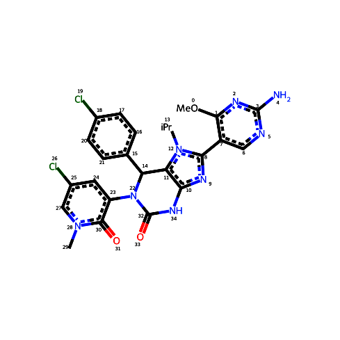 COc1nc(N)ncc1-c1nc2c(n1C(C)C)C(c1ccc(Cl)cc1)N(c1cc(Cl)cn(C)c1=O)C(=O)N2